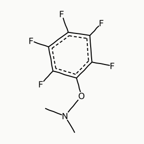 CN(C)Oc1c(F)c(F)c(F)c(F)c1F